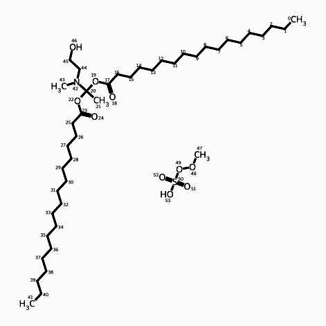 CCCCCCCCCCCCCCCCCC(=O)OC(C)(OC(=O)CCCCCCCCCCCCCCCCC)N(C)CCO.COOS(=O)(=O)O